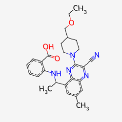 CCOCC1CCN(c2nc3c(C(C)Nc4ccccc4C(=O)O)cc(C)cc3nc2C#N)CC1